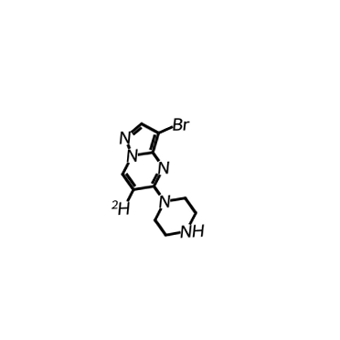 [2H]c1cn2ncc(Br)c2nc1N1CCNCC1